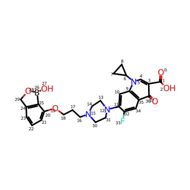 O=C(O)c1cn(C2CC2)c2cc(N3CCN(CCCOc4cccc5c4B(O)OC5)CC3)c(F)cc2c1=O